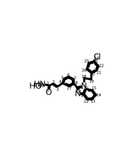 O=C(C=Cc1cccc(-c2nc3ccccc3n2CCc2ccc(Cl)cc2)c1)NO